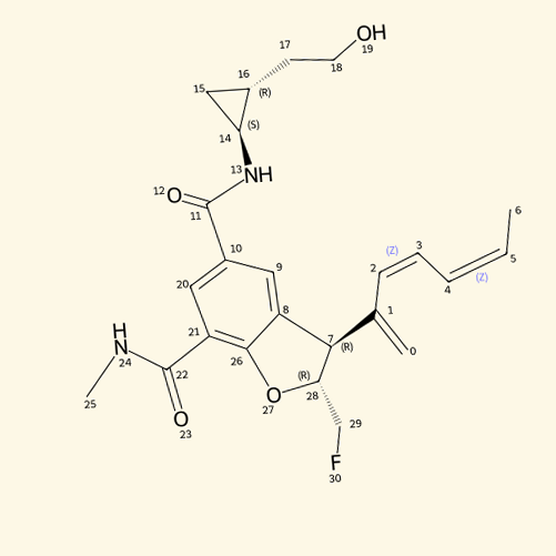 C=C(/C=C\C=C/C)[C@@H]1c2cc(C(=O)N[C@H]3C[C@@H]3CCO)cc(C(=O)NC)c2O[C@H]1CF